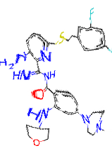 CN1CCN(c2ccc(C(=O)NC(=N)c3nc(SCc4cc(F)cc(F)c4)ccc3N)c(NC3CCOCC3)c2)CC1